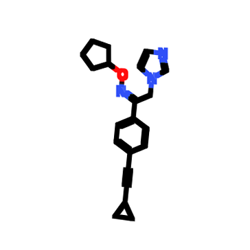 C(#CC1CC1)c1ccc(/C(Cn2ccnc2)=N/OC2CCCC2)cc1